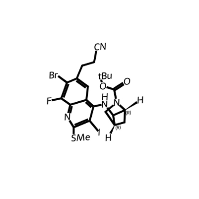 CSc1nc2c(F)c(Br)c(CCC#N)cc2c(NC2[C@@H]3C[C@H]2N(C(=O)OC(C)(C)C)C3)c1I